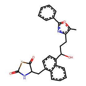 Cc1oc(-c2ccccc2)nc1CCC(O)c1ccc(CC2NC(=O)SC2=O)c2ccccc12